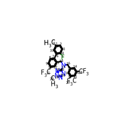 Cc1ccc(F)c(-c2ccc(C(F)(F)F)cc2CN(Cc2cc(C(F)(F)F)cc(C(F)(F)F)c2)c2nnn(C)n2)c1